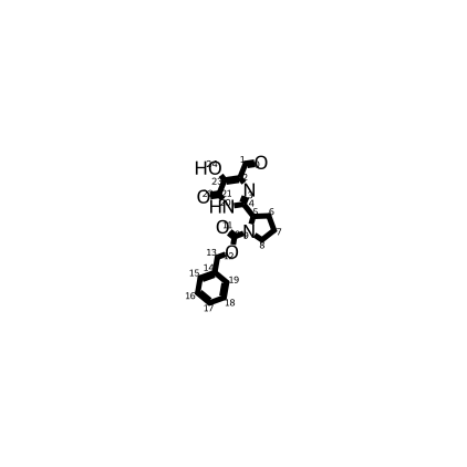 O=Cc1nc(C2CCCN2C(=O)OCc2ccccc2)[nH]c(=O)c1O